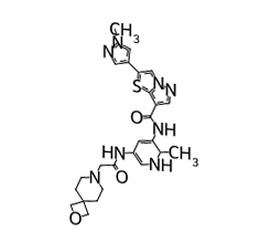 CC1NC=C(NC(=O)CN2CCC3(CC2)COC3)C=C1NC(=O)c1cnn2cc(-c3cnn(C)c3)sc12